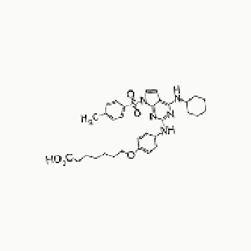 Cc1ccc(S(=O)(=O)n2ccc3c(NC4CCCCC4)nc(Nc4ccc(OCCCCCCC(=O)O)cc4)nc32)cc1